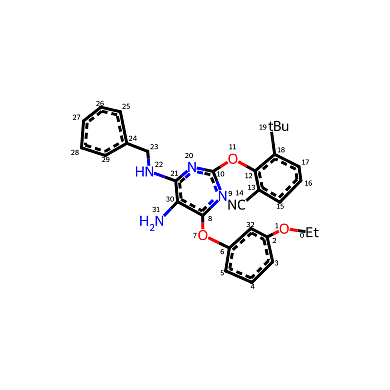 CCOc1cccc(Oc2nc(Oc3c(C#N)cccc3C(C)(C)C)nc(NCc3ccccc3)c2N)c1